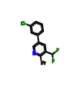 CC(C)c1ncc(-c2cccc(Cl)c2)cc1C(F)F